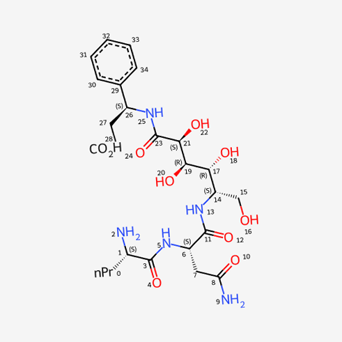 CCC[C@H](N)C(=O)N[C@@H](CC(N)=O)C(=O)N[C@@H](CO)[C@@H](O)[C@@H](O)[C@H](O)C(=O)N[C@@H](CC(=O)O)c1ccccc1